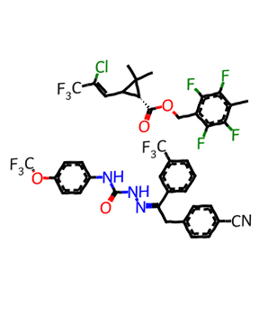 Cc1c(F)c(F)c(COC(=O)[C@@H]2C(C=C(Cl)C(F)(F)F)C2(C)C)c(F)c1F.N#Cc1ccc(C/C(=N/NC(=O)Nc2ccc(OC(F)(F)F)cc2)c2cccc(C(F)(F)F)c2)cc1